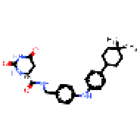 CC1(C)CCC(c2ccc(Nc3ccc(CNC(=O)[C@H]4CC(=O)NC(=O)N4)cc3)cc2)CC1